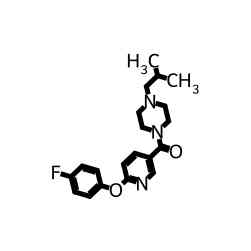 CC(C)CN1CCN(C(=O)c2ccc(Oc3ccc(F)cc3)nc2)CC1